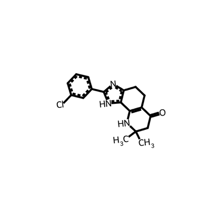 CC1(C)CC(=O)C2=C(N1)c1[nH]c(-c3cccc(Cl)c3)nc1CC2